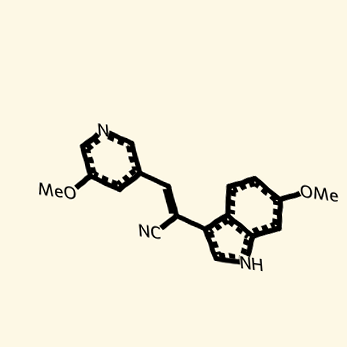 COc1cncc(C=C(C#N)c2c[nH]c3cc(OC)ccc23)c1